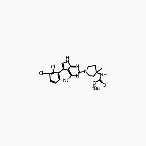 CC1(NC(=O)OC(C)(C)C)CCN(c2nc(C#N)c3c(-c4cccc(Cl)c4Cl)c[nH]c3n2)CC1